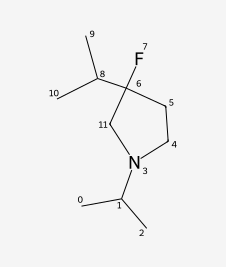 CC(C)N1CCC(F)(C(C)C)C1